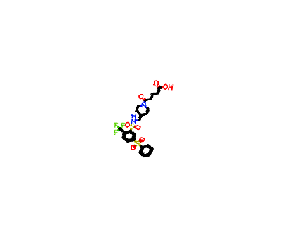 O=C(O)CCCC(=O)N1CCC(CNS(=O)(=O)c2cc(S(=O)(=O)c3ccccc3)ccc2C(F)(F)F)CC1